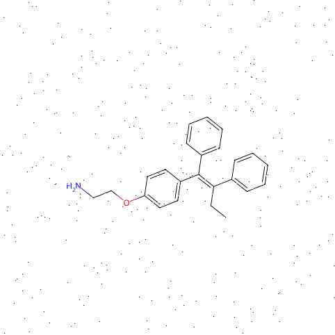 CCC(=C(c1ccccc1)c1ccc(OCCN)cc1)c1ccccc1